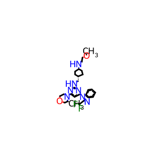 COCCN[C@H]1CC[C@H](CNc2nc(N3CCOC[C@@H]3C)cc(-n3c(C(F)F)nc4ccccc43)n2)CC1